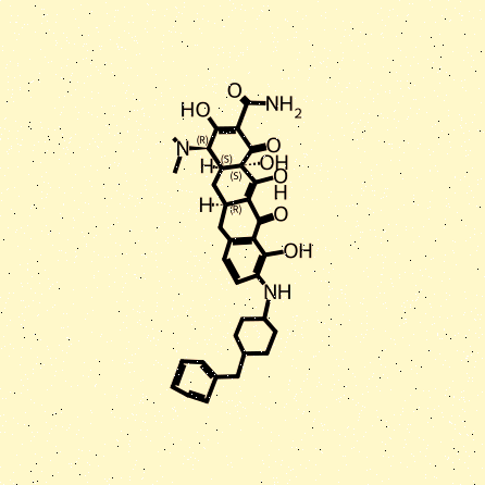 CN(C)[C@H]1C(O)=C(C(N)=O)C(=O)[C@@]2(O)C(O)=C3C(=O)c4c(ccc(NC5CCC(Cc6ccccc6)CC5)c4O)C[C@H]3C[C@@H]12